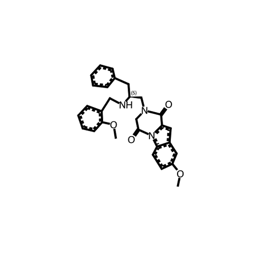 COc1ccc2c(c1)cc1n2C(=O)CN(C[C@H](Cc2ccccc2)NCc2ccccc2OC)C1=O